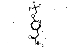 NC(=O)[CH]c1ccc(OCC(F)(F)F)nc1